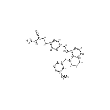 COc1cccc(CN2CCCc3cccc(OCc4ccc(CCC(=O)ON)cc4)c32)c1